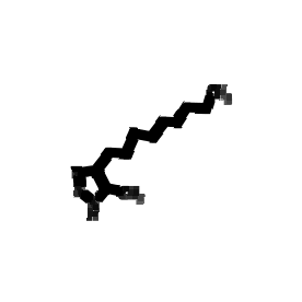 CCCCCCCCCc1nn[nH]c1C